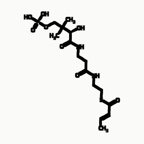 C/C=C/C(=O)SCCNC(=O)CCNC(=O)[C@H](O)C(C)(C)COP(=O)(O)O